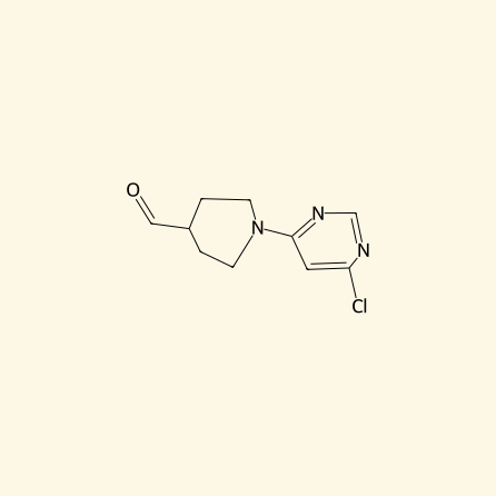 O=CC1CCN(c2cc(Cl)ncn2)CC1